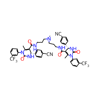 CC1=C(C(=O)NCCCN(C)CCCNC(=O)C2=C(C)N(c3cccc(C(F)(F)F)c3)C(=O)N[C@H]2c2ccc(C#N)cc2)[C@H](c2ccc(C#N)cc2)NC(=O)N1c1cccc(C(F)(F)F)c1